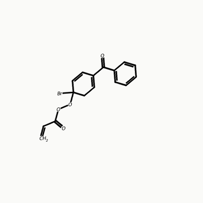 C=CC(=O)OOC1(Br)C=CC(C(=O)c2ccccc2)=CC1